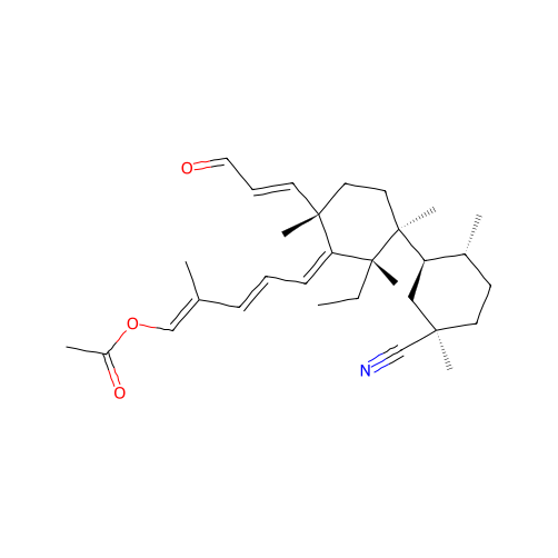 CC[C@]1(C)/C(=C/C=C/C(C)=C/OC(C)=O)[C@](C)(/C=C/C=O)CC[C@@]1(C)[C@@H]1C[C@](C)(C#N)CC[C@H]1C